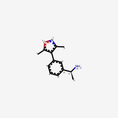 Cc1noc(C)c1-c1cccc([C@H](C)N)c1